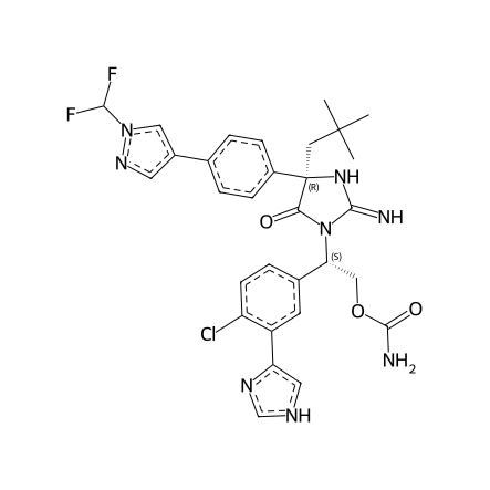 CC(C)(C)C[C@]1(c2ccc(-c3cnn(C(F)F)c3)cc2)NC(=N)N([C@H](COC(N)=O)c2ccc(Cl)c(-c3c[nH]cn3)c2)C1=O